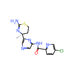 C[C@@]1(c2cncc(NC(=O)c3ccc(Cl)cn3)n2)CCSC(N)=N1